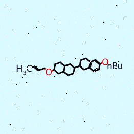 CC=CCOC1CCC2CC(C3CCc4cc(OCCCC)ccc4C3)CCC2C1